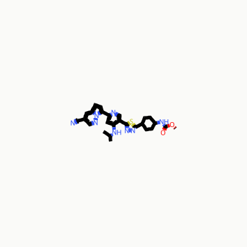 COC(=O)NC1CCC(c2nnc(-c3cnc(-c4ccc5cc(C#N)cnn45)cc3NC(C)C)s2)CC1